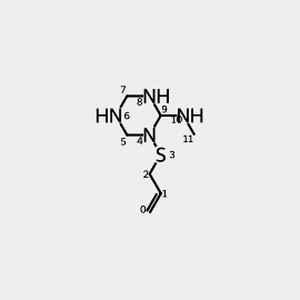 C=CCSN1CNCNC1NC